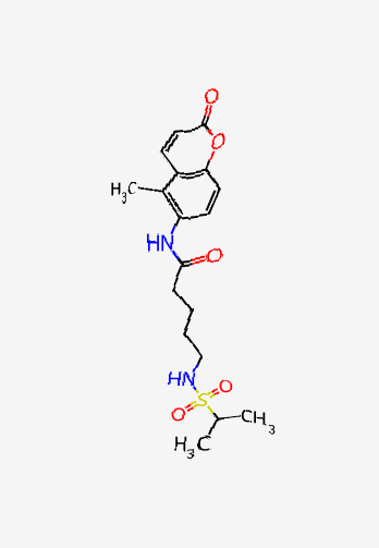 Cc1c(NC(=O)CCCCNS(=O)(=O)C(C)C)ccc2oc(=O)ccc12